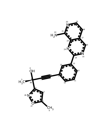 Cc1cc([C@](C)(O)C#Cc2cccc(-c3ncc4ccnc(N)c4n3)c2)no1